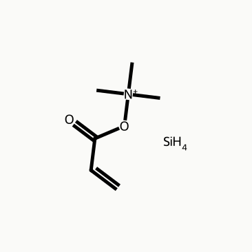 C=CC(=O)O[N+](C)(C)C.[SiH4]